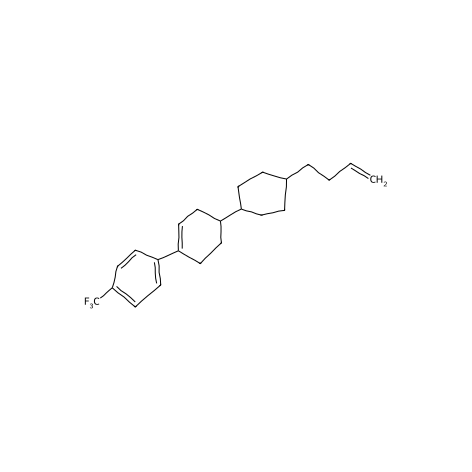 C=CCCC1CCC(C2CC=C(c3ccc(C(F)(F)F)cc3)CC2)CC1